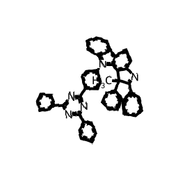 CC1(c2ccccc2)C(c2ccccc2)=Nc2ccc3c4ccccc4n(-c4ccc(-c5nc(-c6ccccc6)nc(-c6ccccc6)n5)cc4)c3c21